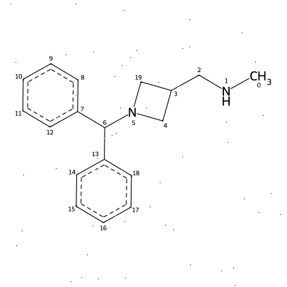 CNCC1CN(C(c2ccccc2)c2ccccc2)C1